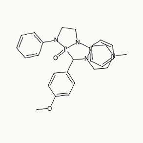 COc1ccc(C(N2CCN(C)CC2)P2(=O)N(c3ccccc3)CCN2c2ccccc2)cc1